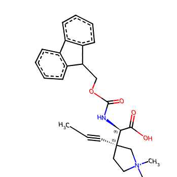 CC#C[C@@]1([C@@H](NC(=O)OCC2c3ccccc3-c3ccccc32)C(=O)O)CC[N+](C)(C)C1